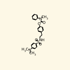 CN(C)c1ccc(S(=O)(=O)NCCc2ccc(OC(=O)N(C)c3ccccc3)cc2)cc1